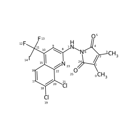 CC1=C(C)C(=O)N(Nc2cc(C(F)(F)I)c3ccc(Cl)c(Cl)c3n2)C1=O